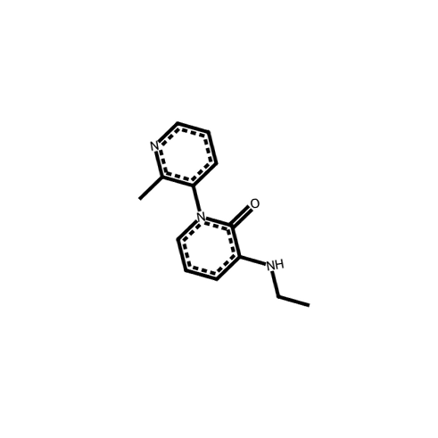 CCNc1cccn(-c2cccnc2C)c1=O